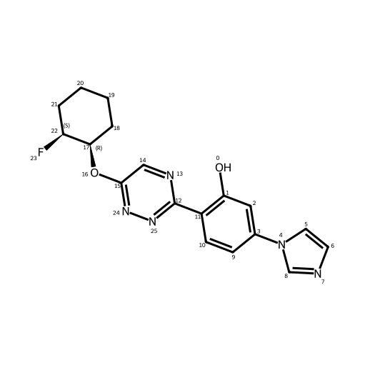 Oc1cc(-n2ccnc2)ccc1-c1ncc(O[C@@H]2CCCC[C@@H]2F)nn1